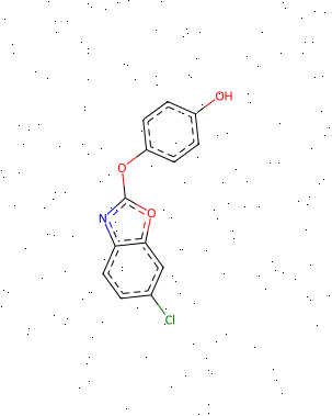 Oc1ccc(Oc2nc3ccc(Cl)cc3o2)cc1